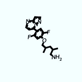 CC(CN)CC(C)COc1cc(F)c(-c2ccnc3ccnn23)cc1F